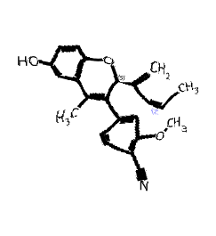 C=C(/C=C\C)[C@@H]1Oc2ccc(O)cc2C(C)=C1c1ccc(C#N)c(OC)c1